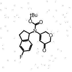 CC(C)(C)OC(=O)N(C1=CC(=O)COC1)C1CCc2cc(F)ccc21